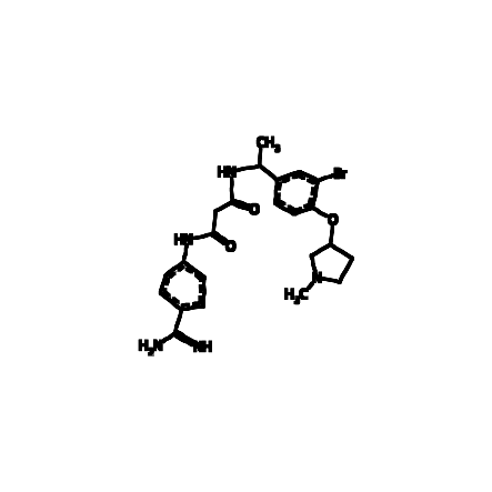 CC(NC(=O)CC(=O)Nc1ccc(C(=N)N)cc1)c1ccc(OC2CCN(C)C2)c(Br)c1